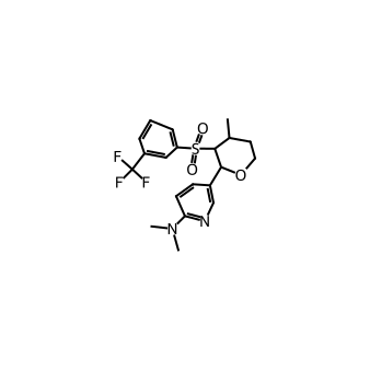 CC1CCOC(c2ccc(N(C)C)nc2)C1S(=O)(=O)c1cccc(C(F)(F)F)c1